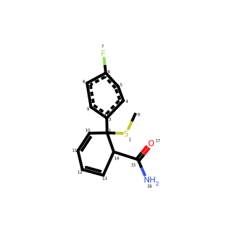 CSC1(c2ccc(F)cc2)C=CC=CC1C(N)=O